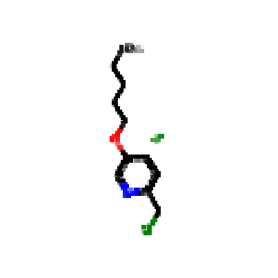 CCCCCCCCCCCCOc1ccc(CCl)nc1.Cl